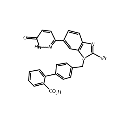 CCCc1nc2ccc(-c3ccc(=O)[nH]n3)cc2n1Cc1ccc(-c2ccccc2C(=O)O)cc1